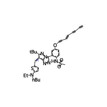 C#CC#CC#CC#COc1ccc(NS(C)(=O)=O)c(-c2nnc3/c(=C\c4ccc(N(CC)CCCC)s4)c(C(C)(C)C)nn23)c1